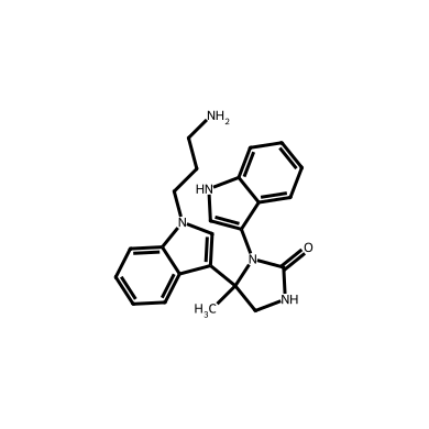 CC1(c2cn(CCCN)c3ccccc23)CNC(=O)N1c1c[nH]c2ccccc12